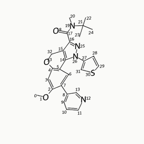 COc1cc2c(cc1-c1cccnc1)-c1c(c(C(=O)N(C)C(C)(C)C)nn1-c1ccsc1)CO2